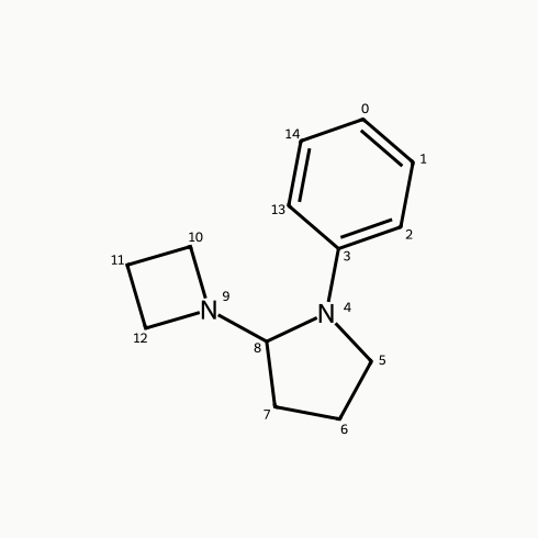 c1ccc(N2CCCC2N2CCC2)cc1